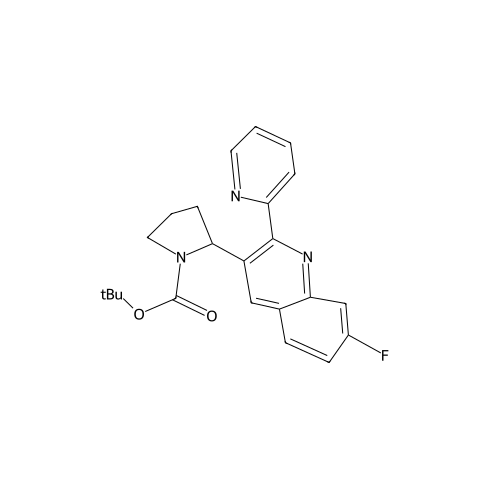 CC(C)(C)OC(=O)N1CCCC1c1cc2ccc(F)cc2nc1-c1ccccn1